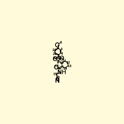 COc1ccc(S(=O)(=O)C[C@H]2CCCC[C@@H]2C(=O)NCC#N)cc1